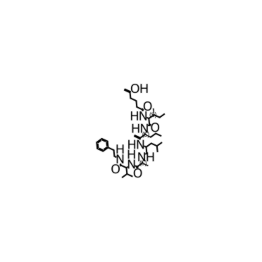 C=C(O)CCCC(=O)NC(C(=O)N[C@@H](CCC)C(=C)NC(CN[C@@H](C)C(=O)NC(C(=O)NCCc1ccccc1)C(C)C)CC(C)C)[C@@H](C)CC